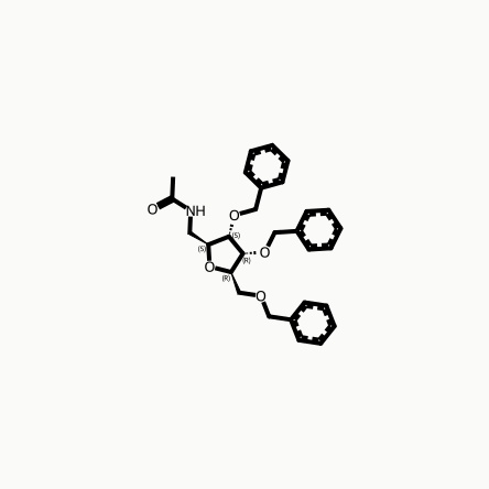 CC(=O)NC[C@@H]1O[C@H](COCc2ccccc2)[C@@H](OCc2ccccc2)[C@H]1OCc1ccccc1